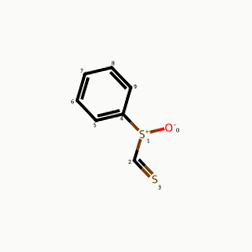 [O-][S+](C=S)c1ccccc1